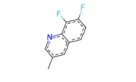 Cc1cnc2c(F)c(F)ccc2c1